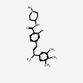 CC(=O)N1CCC(NC(=O)c2ccc(/C=C/C(c3cc(C)c(C)c(C)c3)C(F)(F)F)cc2Br)CC1